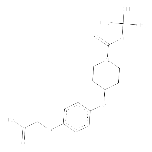 CC(C)(C)OC(=O)N1CCC(Oc2ccc(OCC(=O)O)cc2)CC1